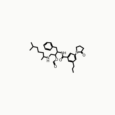 CCCc1cc(C(=O)NC(Cc2ccccc2)C(CNC(C)CCCC(C)C)OC=O)cc(N2CCCC2=O)c1